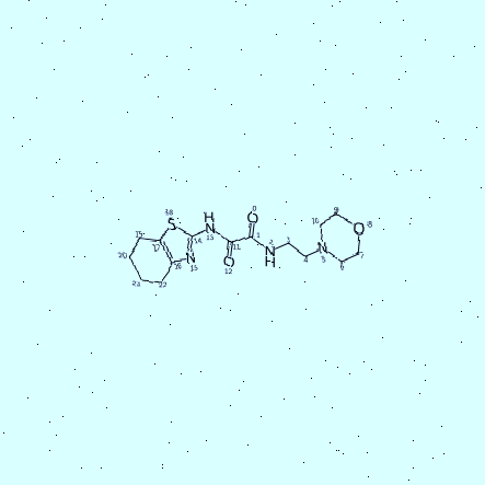 O=C(NCCN1CCOCC1)C(=O)Nc1nc2c(s1)CCCC2